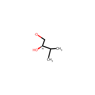 CC(C)[C@@H](O)C[O]